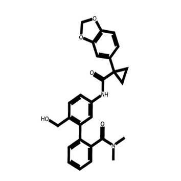 CN(C)C(=O)c1ccccc1-c1cc(NC(=O)C2(c3ccc4c(c3)OCO4)CC2)ccc1CO